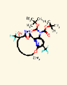 C[C@@H]1CCCCC[C@](O)(C(F)(F)F)c2nnc(o2)-c2nc(c(C(F)(F)F)cc2N(C(=O)OC(C)(C)C)C(=O)OC(C)(C)C)O1